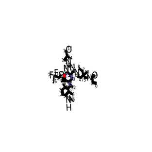 C=CC(=O)N1CC2(CCN(c3nc(N4CC(C=O)C4)nc(=C\OCC(F)(F)F)/c3=C\C(=C(/C)c3c(C)ccc4[nH]ncc34)C3CC3)CC2)C1